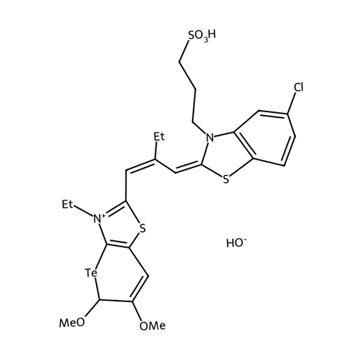 CCC(=Cc1sc2c([n+]1CC)[Te]C(OC)C(OC)=C2)C=C1Sc2ccc(Cl)cc2N1CCCS(=O)(=O)O.[OH-]